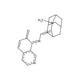 CN1/C(=C/N=C2\C(=O)C=Cc3ccncc32)C2CC3CC(C2)CC1C3